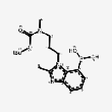 Cc1nc2cccc(B(O)O)c2n1CCCN(C)C(=O)OC(C)(C)C